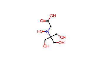 O=C(O)CN(O)C(CO)(CO)CO